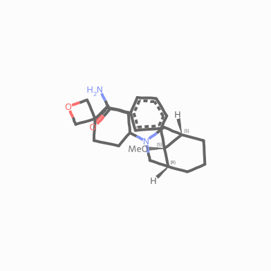 CO[C@]1(c2cccc(C(N)=O)c2)[C@@H]2CCC[C@H]1CN(C1CCC3(CC1)COC3)C2